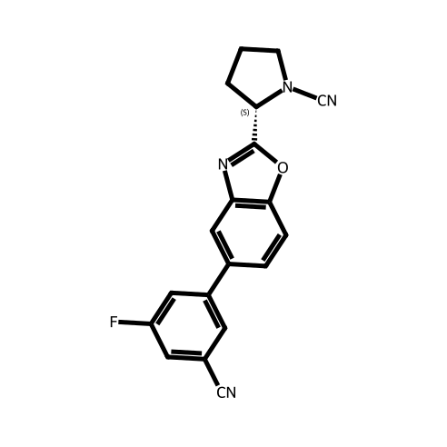 N#Cc1cc(F)cc(-c2ccc3oc([C@@H]4CCCN4C#N)nc3c2)c1